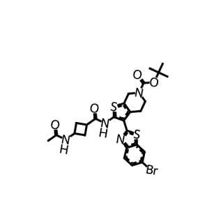 CC(=O)NC1CC(C(=O)Nc2sc3c(c2-c2nc4ccc(Br)cc4s2)CCN(C(=O)OC(C)(C)C)C3)C1